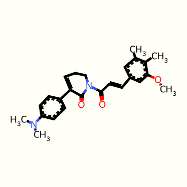 COc1cc(/C=C/C(=O)N2CCC=C(c3ccc(N(C)C)cc3)C2=O)cc(C)c1C